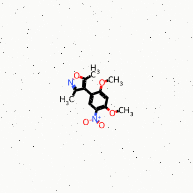 COc1cc(OC)c([N+](=O)[O-])cc1-c1c(C)noc1C